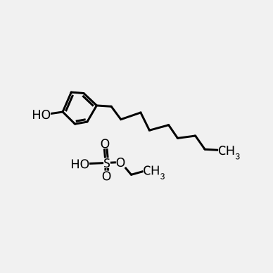 CCCCCCCCCc1ccc(O)cc1.CCOS(=O)(=O)O